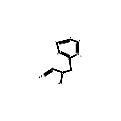 CN(C=O)Cc1ccccn1